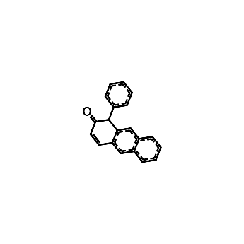 O=C1C=Cc2cc3ccccc3cc2C1c1ccccc1